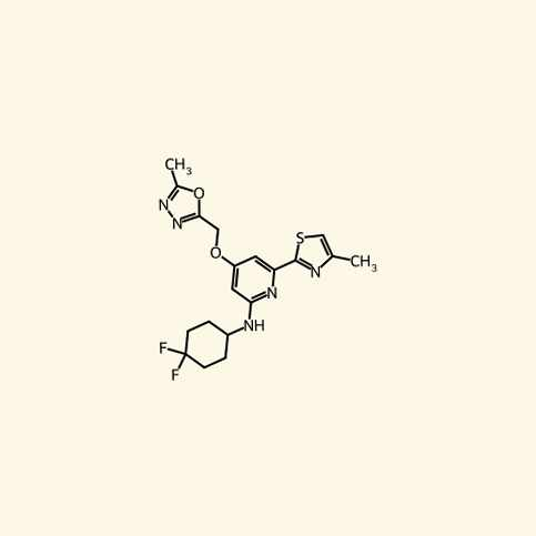 Cc1csc(-c2cc(OCc3nnc(C)o3)cc(NC3CCC(F)(F)CC3)n2)n1